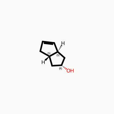 O[C@@H]1C[C@@H]2CC=C[C@H]2C1